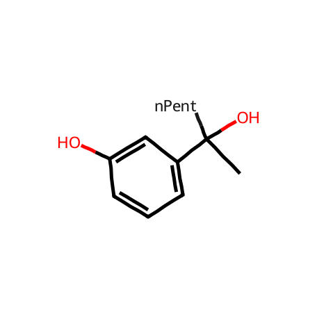 CCCCCC(C)(O)c1cccc(O)c1